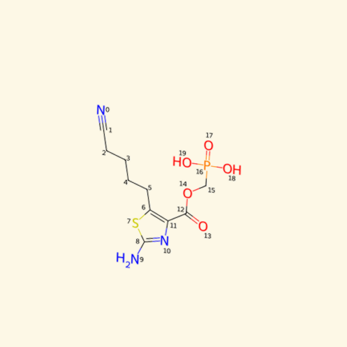 N#CCCCCc1sc(N)nc1C(=O)OCP(=O)(O)O